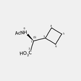 CC(=O)N[C@H](C(=O)O)C1CCC1